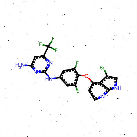 Nc1cc(C(F)(F)F)nc(Nc2cc(F)c(Oc3ccnc4[nH]cc(Br)c34)c(F)c2)n1